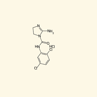 Cl.NC1=NCCN1C(=O)Nc1cc(Cl)ccc1Cl